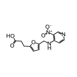 O=C(O)CCc1ccc(CNc2ccncc2[N+](=O)[O-])o1